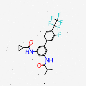 CC(C)C(=O)Nc1cc(NC(=O)C2CC2)cc(C2C=C(F)C(C(F)(F)C(F)(F)F)=CC2)c1